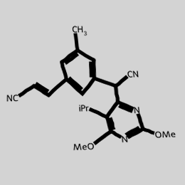 COc1nc(OC)c(C(C)C)c(C(C#N)c2cc(C)cc(/C=C/C#N)c2)n1